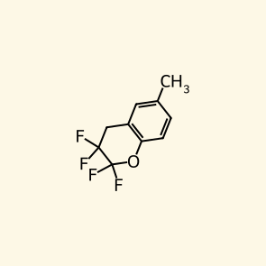 Cc1ccc2c(c1)CC(F)(F)C(F)(F)O2